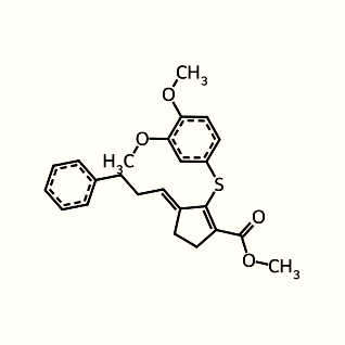 COC(=O)C1=C(Sc2ccc(OC)c(OC)c2)C(=CCCc2ccccc2)CC1